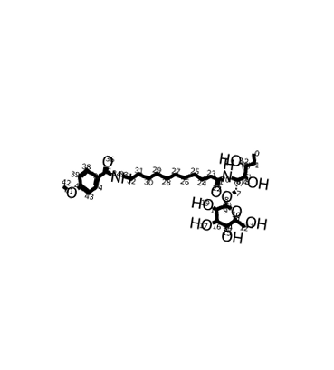 CC[C@@H](O)[C@@H](O)[C@H](CO[C@H]1OC(CO)[C@H](O)C(O)C1O)NC(=O)CCCCCCCCCCCNC(=O)c1ccc(OC)cc1